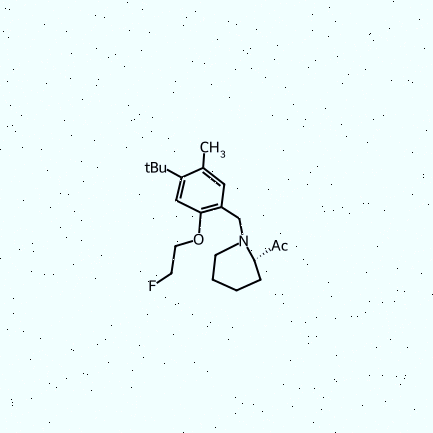 CC(=O)[C@@H]1CCCCN1Cc1cc(C)c(C(C)(C)C)cc1OCCF